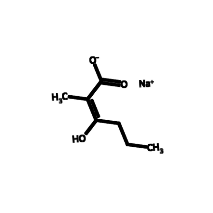 CCCC(O)=C(C)C(=O)[O-].[Na+]